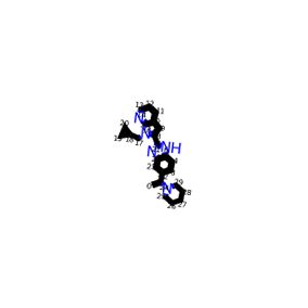 C=C(c1ccc2[nH]c(-c3cc4cccnc4n3CC3CC3)nc2c1)N1CCCCC1